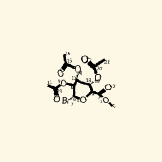 COC(=O)C1O[C@H](Br)C(OC(C)=O)[C@H](OC(C)=O)[C@@H]1OC(C)=O